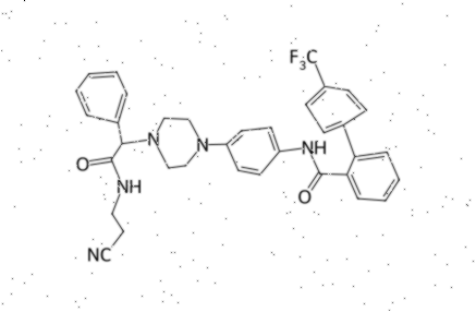 N#CCCNC(=O)C(c1ccccc1)N1CCN(c2ccc(NC(=O)c3ccccc3-c3ccc(C(F)(F)F)cc3)cc2)CC1